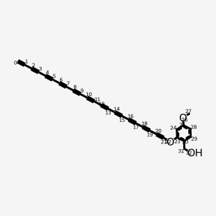 C#CC#CC#CC#CC#CC#CC#CC#CC#CC#CC#COc1cc(OC)ccc1CO